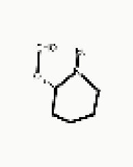 CCN1CCCC[C@@H]1OC=O